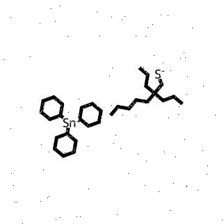 C1CC[CH]([Sn+]([CH]2CCCCC2)[CH]2CCCCC2)CC1.CCCCCC(C[S-])(CCC)CCC